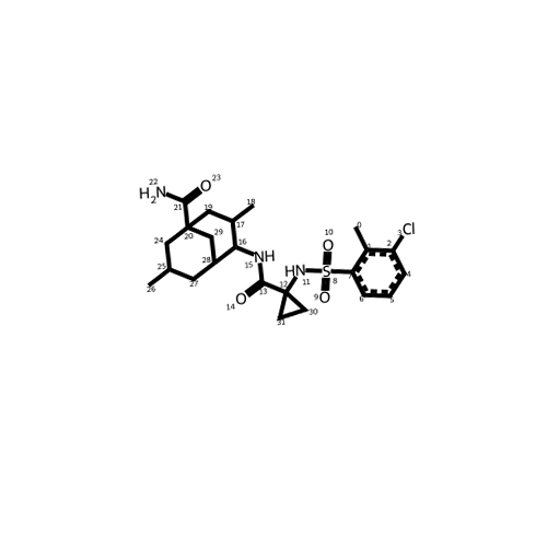 Cc1c(Cl)cccc1S(=O)(=O)NC1(C(=O)NC2C(C)CC3(C(N)=O)CC(C)CC2C3)CC1